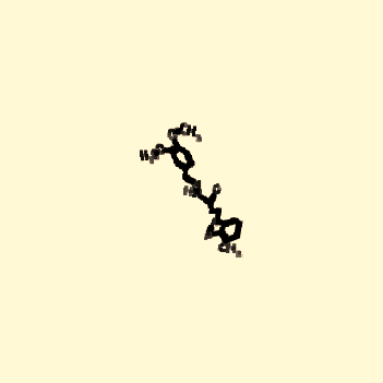 COc1ccc(/C=N/NC(=O)CCn2cnc3c(C)cccc32)cc1OC